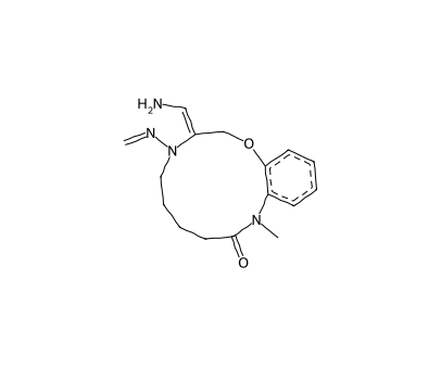 C=NN1CCCCC(=O)N(C)c2ccccc2OC/C1=C/N